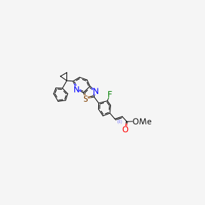 COC(=O)/C=C/c1ccc(-c2nc3ccc(C4(c5ccccc5)CC4)nc3s2)c(F)c1